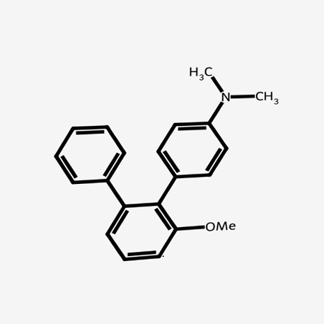 COc1[c]ccc(-c2ccccc2)c1-c1ccc(N(C)C)cc1